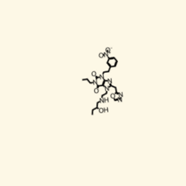 CCCn1c(=O)c2c(nc(Cc3nnco3)n2CCNCC(O)CC)n(CCc2cccc([N+](=O)[O-])c2)c1=O